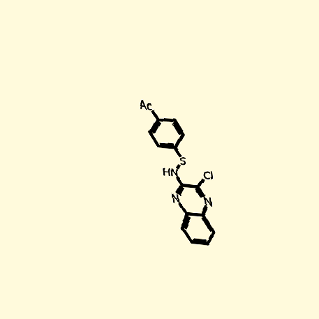 CC(=O)c1ccc(SNc2nc3ccccc3nc2Cl)cc1